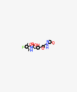 CCc1cc(F)cc(C)c1C(=O)NC(Cc1ccc(-c2cc(CNc3cc(OC)ccn3)co2)cc1)C(=O)O